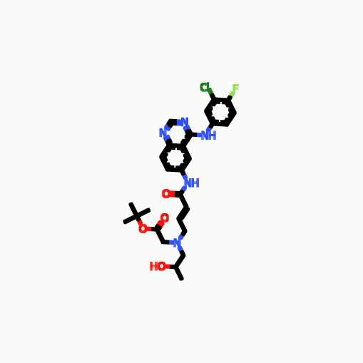 CC(O)CN(CC=CC(=O)Nc1ccc2ncnc(Nc3ccc(F)c(Cl)c3)c2c1)CC(=O)OC(C)(C)C